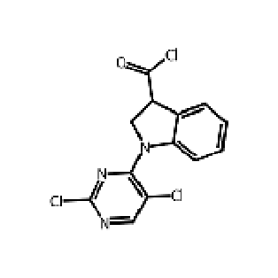 O=C(Cl)C1CN(c2nc(Cl)ncc2Cl)c2ccccc21